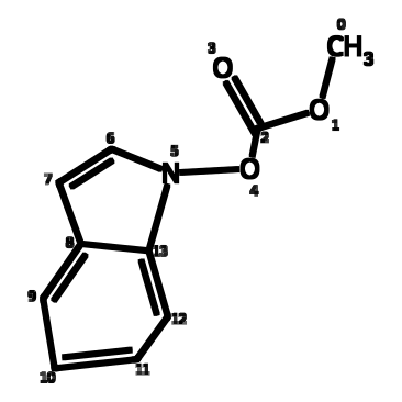 COC(=O)On1ccc2ccccc21